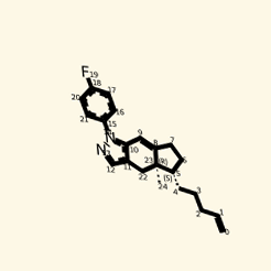 C=CCCC[C@H]1CCC2=Cc3c(cnn3-c3ccc(F)cc3)C[C@@]21C